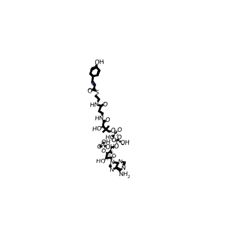 CC(C)(COP(=O)(O)OP(=O)(O)OC[C@H]1O[C@@H](n2cnc3c(N)ncnc32)[C@H](O)[C@@H]1OP(=O)(O)O)[C@@H](O)C(=O)NCCC(=O)NCCSC(=O)/C=C/C1C=CC(O)=CC1